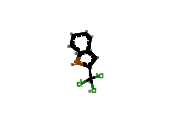 ClC(Cl)(Cl)c1cc2ccccc2s1